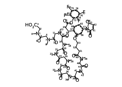 CN(CC(=O)O)C(=O)CN(C)C(=O)CN(C)C(=O)CN(C)C(=O)CN(C)C(=O)CN(C)C(=O)CN(C)C(=O)CN(C)C(=O)CN(C)C(=O)CN(C)C(=O)CCCOc1cc(N2C(=O)C=CC2=O)ccc1CCC(=O)Oc1c(F)c(F)cc(F)c1F